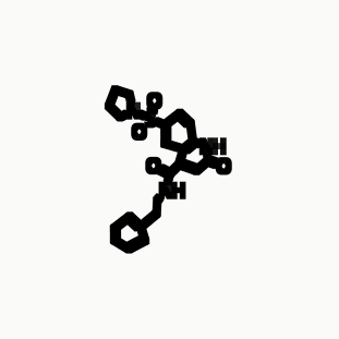 O=C(NCCc1ccccc1)c1cc(=O)[nH]c2ccc(S(=O)(=O)N3CCCC3)cc12